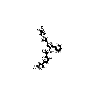 O=C(Nc1cn(C2CN(CC(F)(F)F)C2)nc1-c1ccccn1)c1ccc(-c2cn[nH]c2)o1